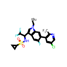 CC(C)(C)Cn1cc(C(NS(=O)(=O)C2CC2)C(F)F)c2cc(F)c(-c3cc(Cl)cnc3C(F)(F)F)cc21